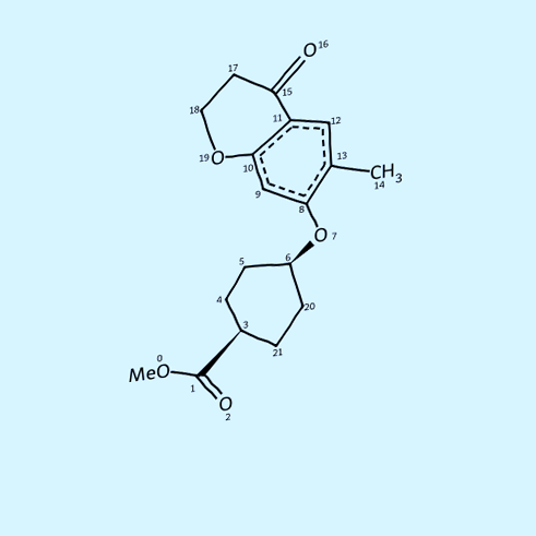 COC(=O)[C@H]1CC[C@@H](Oc2cc3c(cc2C)C(=O)CCO3)CC1